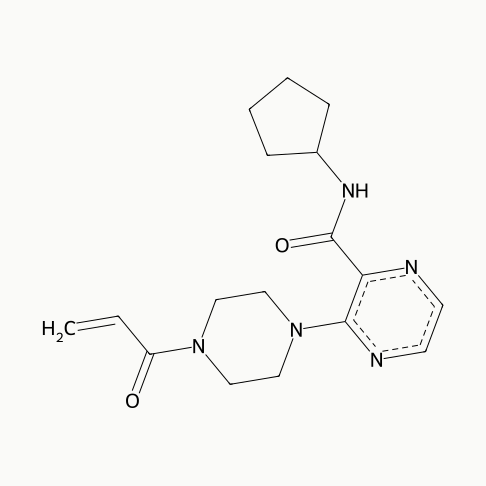 C=CC(=O)N1CCN(c2nccnc2C(=O)NC2CCCC2)CC1